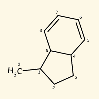 CC1CCC2C=CC=CC12